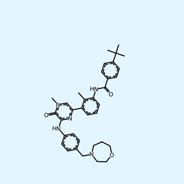 Cc1c(NC(=O)c2ccc(C(C)(C)C)cc2)cccc1-c1cn(C)c(=O)c(Nc2ccc(CN3CCCOCC3)cc2)n1